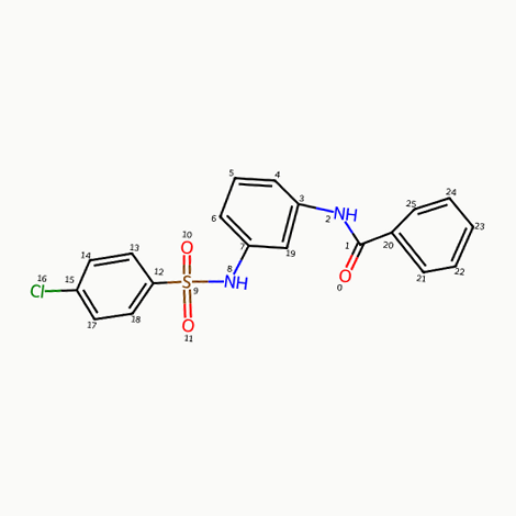 O=C(Nc1cccc(NS(=O)(=O)c2ccc(Cl)cc2)c1)c1ccccc1